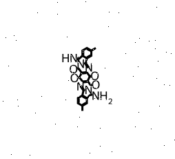 Cc1ccc2c(c1)C(N)n1c-2nc2c(=O)c3c(=O)n4c(=N)c5ccc(C)cc5c4nc3c(=O)c2c1=O